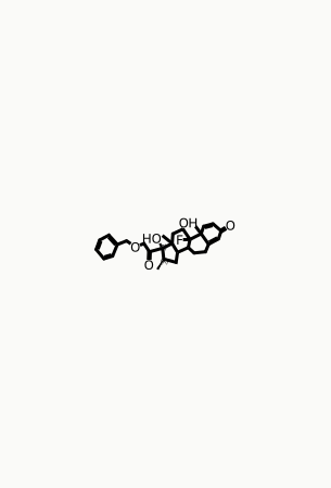 C[C@@H]1CC2C3CCC4=CC(=O)C=CC4(C)C3(F)C(O)CC2(C)[C@@]1(O)C(=O)COCc1ccccc1